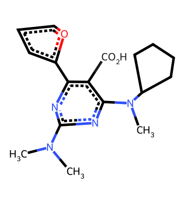 CN(C)c1nc(-c2ccco2)c(C(=O)O)c(N(C)C2CCCC2)n1